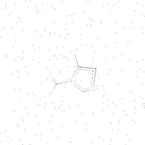 FC(F)n1[c]n[c]c1Cl